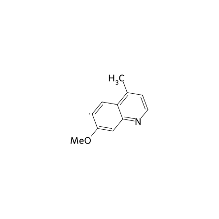 COc1[c]cc2c(C)ccnc2c1